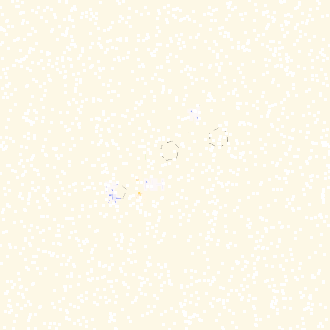 Cn1cc(S(=O)(=O)NCCc2cc3c(cc2F)CC(CN2CCC2)C3Cc2ccccc2)cn1